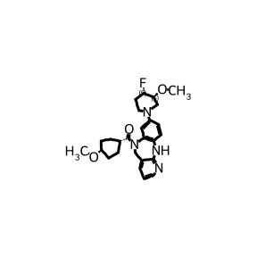 CO[C@H]1CN(c2ccc3c(c2)N(C(=O)[C@H]2CC[C@H](OC)CC2)Cc2cccnc2N3)CC[C@@H]1F